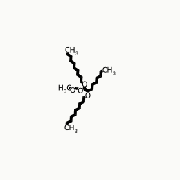 CCCCCCCCCCOC(CCCCCCC)=C(OCCCCCCCCCC)OCOC